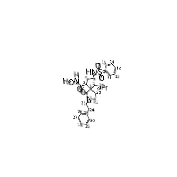 CC(C)CC1(C(CCNS(=O)(=O)c2ccccc2)C(=O)NO)CCN(CCc2ccccc2)C1=O